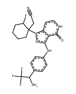 N#CCC1(n2nc(Nc3ccc(C(N)C(F)(F)F)cc3)c3c(=O)[nH]ccc32)CCCCC1F